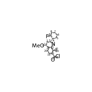 COc1cc(-c2ccccc2F)nc2c(F)c(C(=O)Cl)ccc12